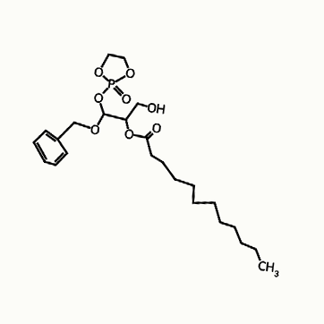 CCCCCCCCCCCC(=O)OC(CO)C(OCc1ccccc1)OP1(=O)OCCO1